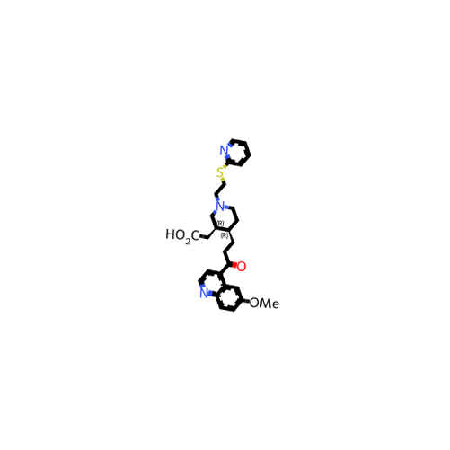 COc1ccc2nccc(C(=O)CC[C@@H]3CCN(CCSc4ccccn4)C[C@@H]3CC(=O)O)c2c1